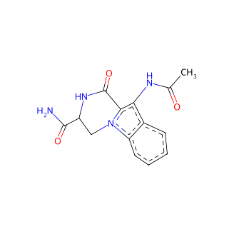 CC(=O)Nc1c2n(c3ccccc13)CC(C(N)=O)NC2=O